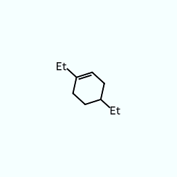 CCC1=CCC(CC)CC1